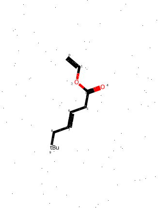 C=COC(=O)CC=CCC(C)(C)C